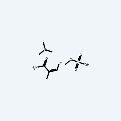 CCC=C(C)C(N)=O.CN(C)C.COS(=O)(=O)O